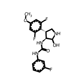 COc1cc(F)c([C@@H]2CNC(O)[C@H]2NC(=O)Nc2cccc(F)c2)c(F)c1